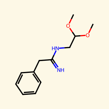 COC(CNC(=N)Cc1ccccc1)OC